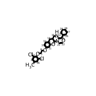 Cc1cc(Cl)c(OCCOc2ccc(CC(CN)C(=O)N3C=COC(C4=CC=CCC4)=C3)cc2)c(Cl)c1